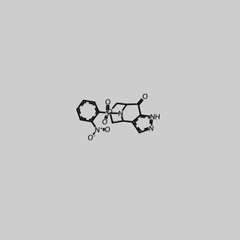 O=C1c2[nH]ncc2C2COCC1N2S(=O)(=O)c1ccccc1[N+](=O)[O-]